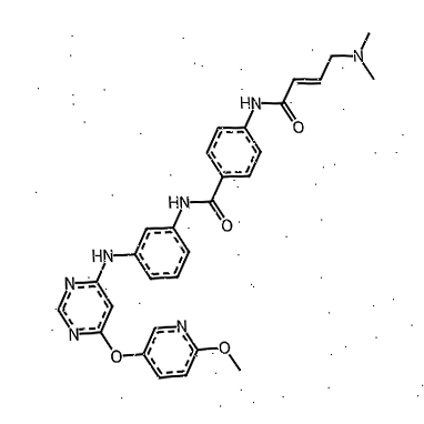 COc1ccc(Oc2cc(Nc3cccc(NC(=O)c4ccc(NC(=O)/C=C/CN(C)C)cc4)c3)ncn2)cn1